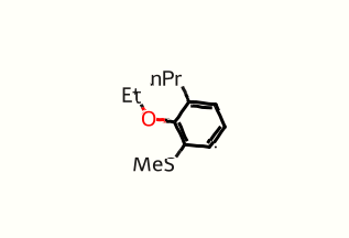 CCCc1cc[c]c(SC)c1OCC